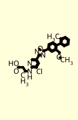 COCc1cc(-c2nc(-c3cnc(NC(C)CC(=O)O)c(Cl)c3)no2)ccc1-c1ccccc1C